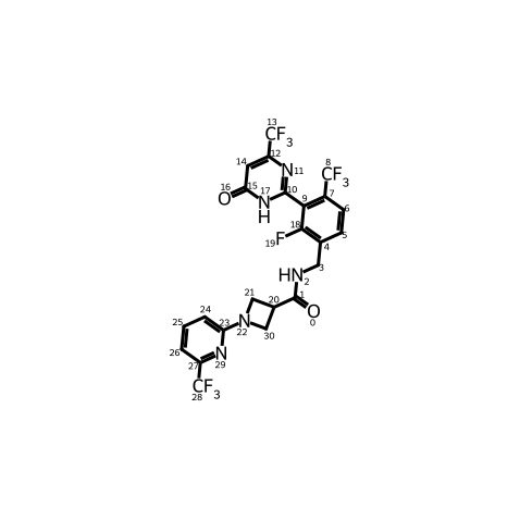 O=C(NCc1ccc(C(F)(F)F)c(-c2nc(C(F)(F)F)cc(=O)[nH]2)c1F)C1CN(c2cccc(C(F)(F)F)n2)C1